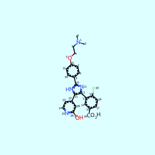 CN(C)CCOc1ccc(-c2nc(-c3cc(C(=O)O)ccc3F)c(-c3ccnc(O)c3)[nH]2)cc1